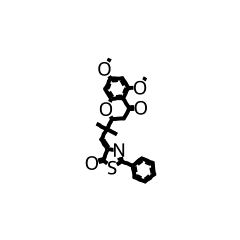 COc1cc(OC)c2c(c1)OC(C(C)(C)C=C1N=C(c3ccccc3)SC1=O)CC2=O